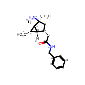 N[C@@]1(C(=O)O)C[C@H](CC(=O)NCc2ccccc2)[C@H]2[C@H](C(=O)O)[C@H]21